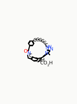 Cc1c2cnc3c1nnn3CCCCCCc1ccc(cc1)C(=O)N1CCc3ccc(cc3C1)[C@@H]2[C@H](C)C(=O)O